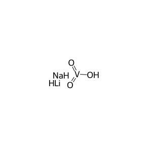 [LiH].[NaH].[O]=[V](=[O])[OH]